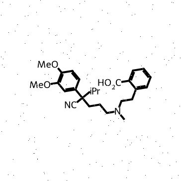 COc1ccc(C(C#N)(CCCN(C)CCc2ccccc2C(=O)O)C(C)C)cc1OC